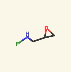 FNCC1CO1